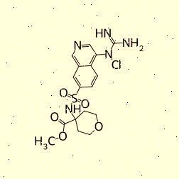 COC(=O)C1(NS(=O)(=O)c2ccc3c(N(Cl)C(=N)N)cncc3c2)CCOCC1